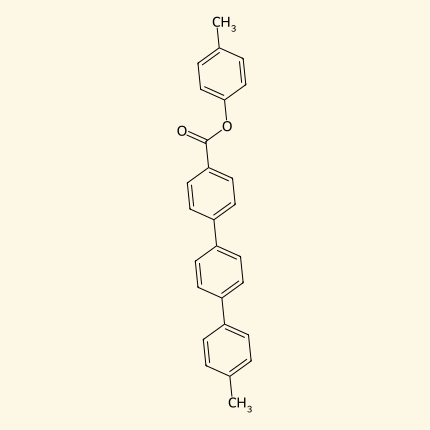 Cc1ccc(OC(=O)c2ccc(-c3ccc(-c4ccc(C)cc4)cc3)cc2)cc1